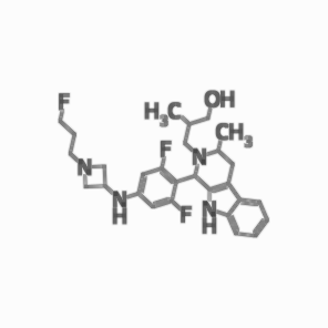 CC(CO)CN1C(C)Cc2c([nH]c3ccccc23)C1c1c(F)cc(NC2CN(CCCF)C2)cc1F